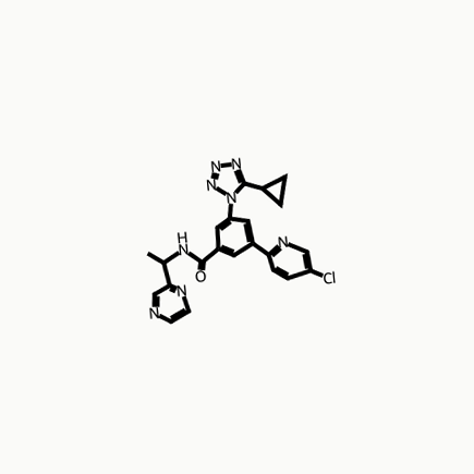 CC(NC(=O)c1cc(-c2ccc(Cl)cn2)cc(-n2nnnc2C2CC2)c1)c1cnccn1